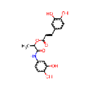 CC(OC(=O)C=Cc1ccc(O)c(O)c1)C(=O)Nc1ccc(O)c(O)c1